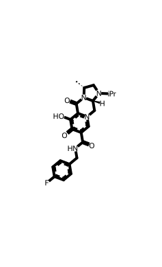 CC(C)N1C[C@@H](C)N2C(=O)c3c(O)c(=O)c(C(=O)NCc4ccc(F)cc4)cn3C[C@@H]12